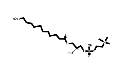 CCCCCCCCCCCCCCCCCCCCC(=O)OC[C@@H](O)COP(=O)(O)OCC[N+](C)(C)C